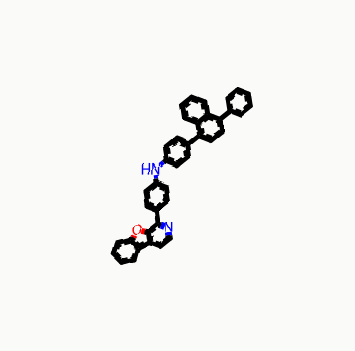 c1ccc(-c2ccc(-c3ccc(Nc4ccc(-c5nccc6c5oc5ccccc56)cc4)cc3)c3ccccc23)cc1